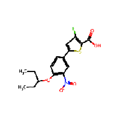 CCC(CC)Oc1ccc(-c2cc(F)c(C(=O)O)s2)cc1[N+](=O)[O-]